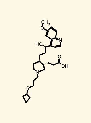 COc1ccc2nccc([C@H](O)CC[C@@H]3CCN(CCCSC4CCC4)C[C@H]3CCC(=O)O)c2c1